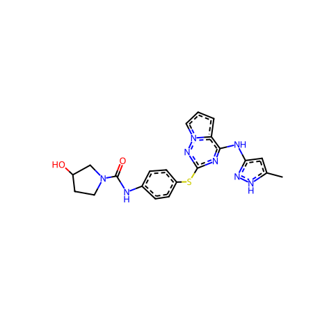 Cc1cc(Nc2nc(Sc3ccc(NC(=O)N4CCC(O)C4)cc3)nn3cccc23)n[nH]1